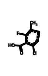 Cc1ccc(Cl)c(C(=O)O)c1F